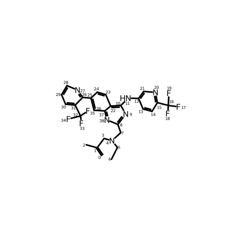 C=C(C)CN(CC)Cc1nc(Nc2ccc(C(F)(F)F)nc2)c2ccc(-c3ncccc3C(F)(F)F)cc2n1